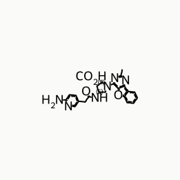 Cc1nc(N2C[C@@H](NC(=O)Cc3ccc(N)nc3)C[C@H]2C(=O)O)c2oc3ccccc3c2n1